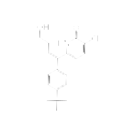 CC(C)(C)c1ccc(/C(=C/CCO)c2ccc(Cl)c(=O)[nH]2)cc1